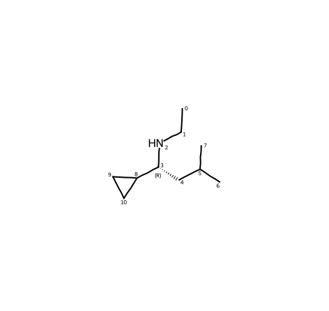 CCN[C@H](CC(C)C)C1CC1